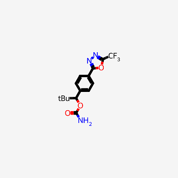 CC(C)(C)C(OC(N)=O)c1ccc(-c2nnc(C(F)(F)F)o2)cc1